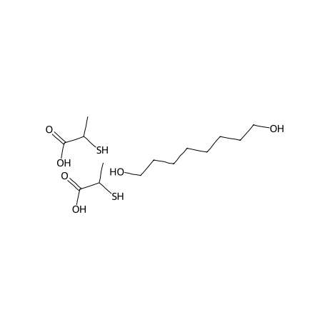 CC(S)C(=O)O.CC(S)C(=O)O.OCCCCCCCCO